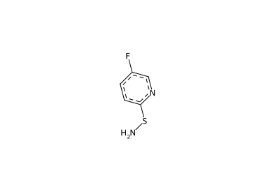 NSc1ccc(F)cn1